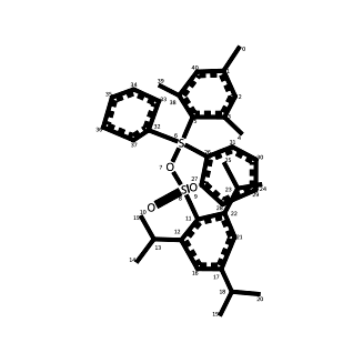 Cc1cc(C)c(S(OS(=O)(=O)c2c(C(C)C)cc(C(C)C)cc2C(C)C)(c2ccccc2)c2ccccc2)c(C)c1